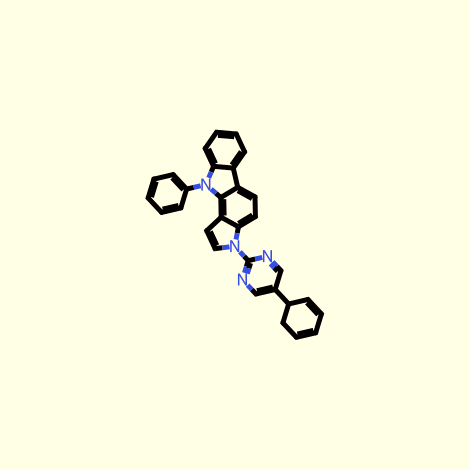 C1=CCC(c2cnc(-n3ccc4c3ccc3c5ccccc5n(-c5ccccc5)c34)nc2)C=C1